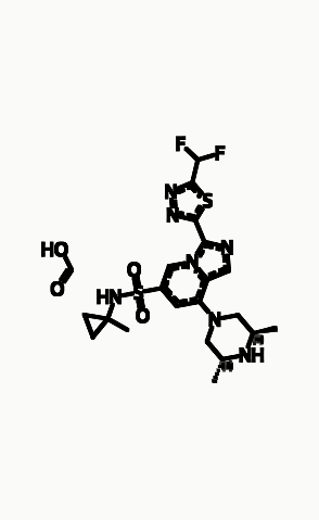 C[C@@H]1CN(c2cc(S(=O)(=O)NC3(C)CC3)cn3c(-c4nnc(C(F)F)s4)ncc23)C[C@@H](C)N1.O=CO